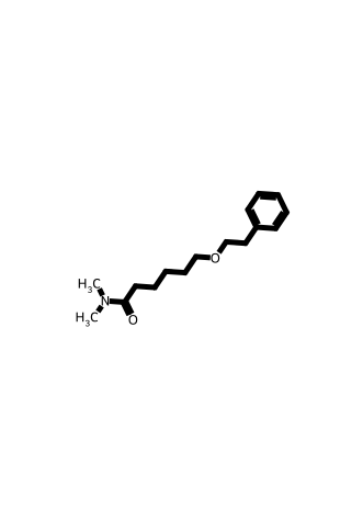 CN(C)C(=O)CCCCCOCCc1ccccc1